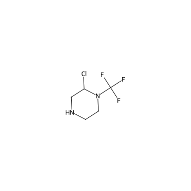 FC(F)(F)N1CCNCC1Cl